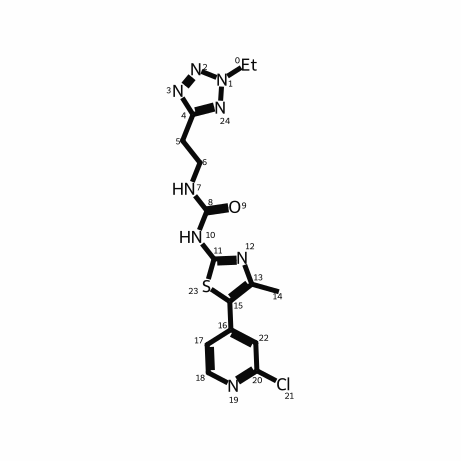 CCn1nnc(CCNC(=O)Nc2nc(C)c(-c3ccnc(Cl)c3)s2)n1